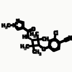 Cn1cc(C(=O)N[C@H]2C(C)(C)[C@H](Oc3ccc(C#N)c(Cl)c3)C2(C)C)cn1